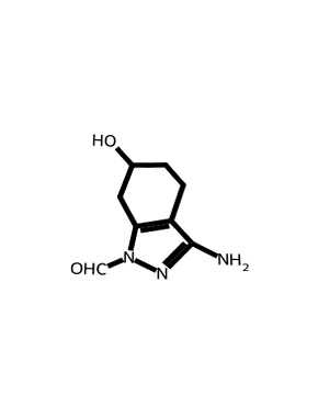 Nc1nn(C=O)c2c1CCC(O)C2